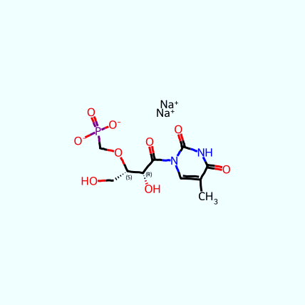 Cc1cn(C(=O)[C@H](O)[C@H](CO)OCP(=O)([O-])[O-])c(=O)[nH]c1=O.[Na+].[Na+]